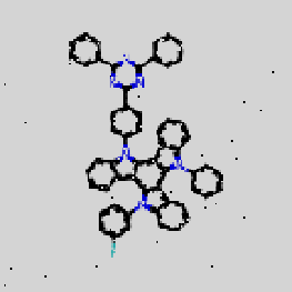 Fc1cccc(-n2c3ccccc3c3c4c(c5ccccc5n4-c4ccccc4)c4c(c5ccccc5n4-c4ccc(-c5nc(-c6ccccc6)nc(-c6ccccc6)n5)cc4)c32)c1